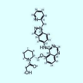 O=C(CO)N1CCCC[C@@H]1COc1cccc2ncnc(Nc3ccc4c(cnn4Cc4ccccn4)c3)c12